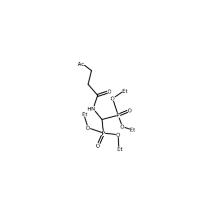 CCOP(=O)(OCC)C(NC(=O)CCC(C)=O)P(=O)(OCC)OCC